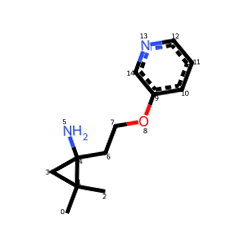 CC1(C)CC1(N)CCOc1cccnc1